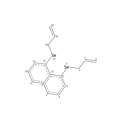 C=CC[Se]c1cccc2cccc([Se]CC=C)c12